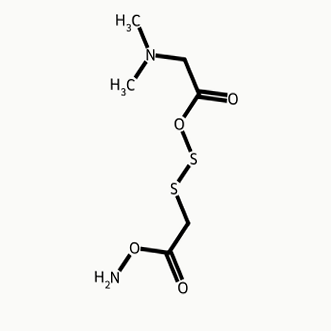 CN(C)CC(=O)OSSCC(=O)ON